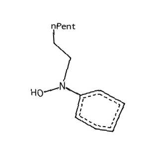 CCCCCCCN(O)c1ccccc1